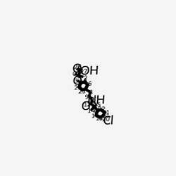 CC(C)(Oc1ccc(CCNC(=O)C(C)(C)c2ccc(Cl)cc2)cc1)C(=O)O